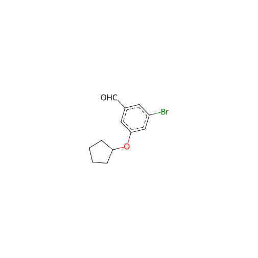 O=Cc1cc(Br)cc(OC2CCCC2)c1